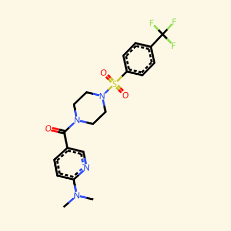 CN(C)c1ccc(C(=O)N2CCN(S(=O)(=O)c3ccc(C(F)(F)F)cc3)CC2)cn1